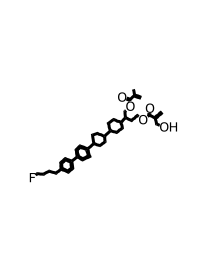 C=C(C)C(=O)OCC(CCOC(=O)C(=C)CO)C1CCC(C2CCC(c3ccc(-c4ccc(CCCCF)cc4)cc3)CC2)CC1